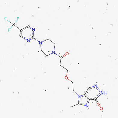 Cc1nc2c(=O)[nH]ncc2n1CCOCCC(=O)N1CCN(c2ncc(C(F)(F)F)cn2)CC1